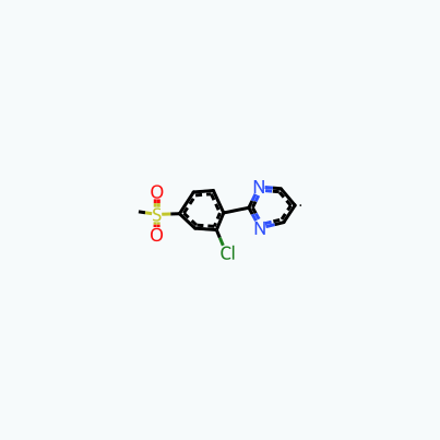 CS(=O)(=O)c1ccc(-c2nc[c]cn2)c(Cl)c1